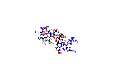 CC[C@H](C)[C@H](NC(=O)[C@H](C)NC(=O)[C@@H](NC(=O)[C@H](CC(C)C)NC(=O)[C@H](CC(=O)O)NC(=O)[C@@H](NC(=O)[C@H](Cc1ccc(O)cc1)NC(=O)[C@H](CCCNC(=N)N)NC(=O)[C@@H](N)CC(N)=O)[C@@H](C)O)C(C)C)C(N)=O